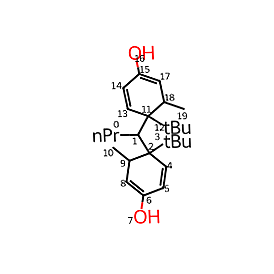 CCCC(C1(C(C)(C)C)C=CC(O)=CC1C)C1(C(C)(C)C)C=CC(O)=CC1C